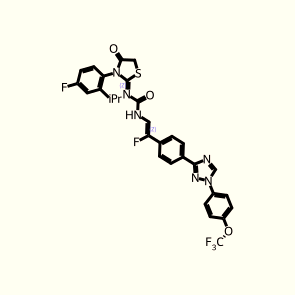 CC(C)c1cc(F)ccc1N1C(=O)CS/C1=N\C(=O)N/C=C(\F)c1ccc(-c2ncn(-c3ccc(OC(F)(F)F)cc3)n2)cc1